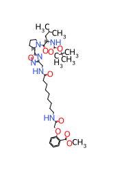 COC(=O)c1ccccc1OCC(=O)NCCCCCCCCC(=O)NCc1noc([C@H]2CCCN2C(=O)[C@@H](CC(C)C)NC(=O)OC(C)(C)C)n1